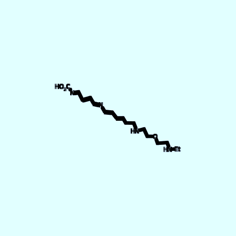 CCNCCOCCNCCC=CC=CN=CC=CC=NC(=O)O